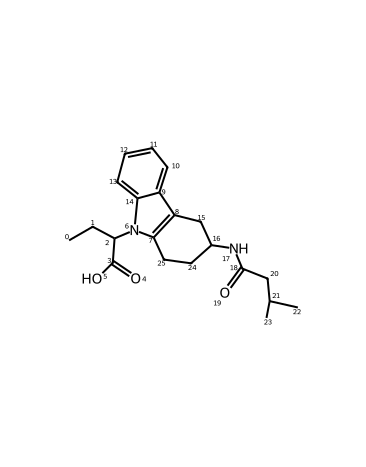 CCC(C(=O)O)n1c2c(c3ccccc31)CC(NC(=O)CC(C)C)CC2